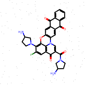 NC1CCN(C(=O)c2cn3c4cc5c(=O)c6ccccc6c(=O)c5cc4oc4c(N5CCC(N)C5)c(F)cc(c2=O)c43)C1